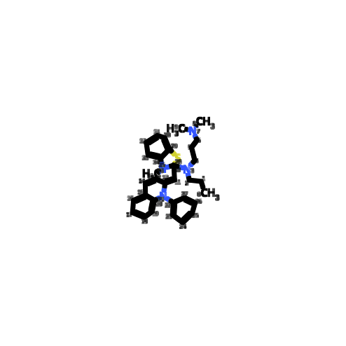 CCCN(CCCN(C)C)C1(C=C2C=Cc3ccccc3N2c2ccccc2)Sc2ccccc2N1C